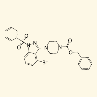 O=C(OCc1ccccc1)N1CCN(c2nn(S(=O)(=O)c3ccccc3)c3cccc(Br)c23)CC1